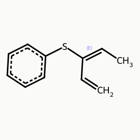 C=C/C(=C\C)Sc1ccccc1